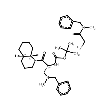 CCC(=O)N(C)Cc1ccccc1.CN(Cc1ccccc1)C[C@@H](NC(=O)OC(C)(C)C)C(=O)N1CCC[C@@H]2CCCC[C@@H]21